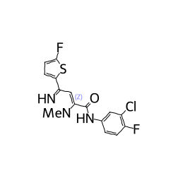 CN/C(=C\C(=N)c1ccc(F)s1)C(=O)Nc1ccc(F)c(Cl)c1